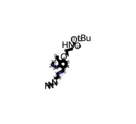 C=Cc1c(OCCCNC(=O)OC(C)(C)C)ccc(/C=C/CCN=[N+]=[N-])c1/C=C\C